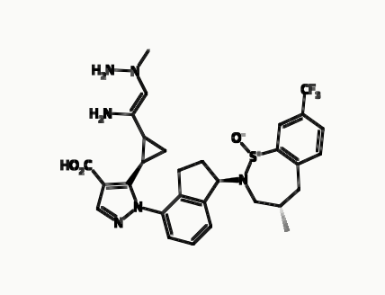 C[C@H]1Cc2ccc(C(F)(F)F)cc2[S+]([O-])N([C@@H]2CCc3c2cccc3-n2ncc(C(=O)O)c2[C@@H]2CC2/C(N)=C/N(C)N)C1